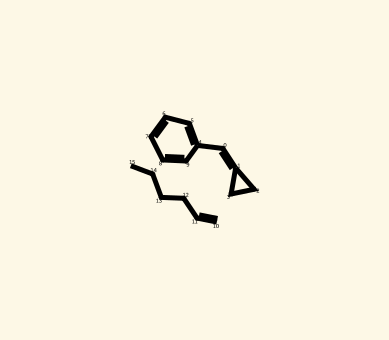 C(=C1CC1)c1ccccc1.C=CCCCC